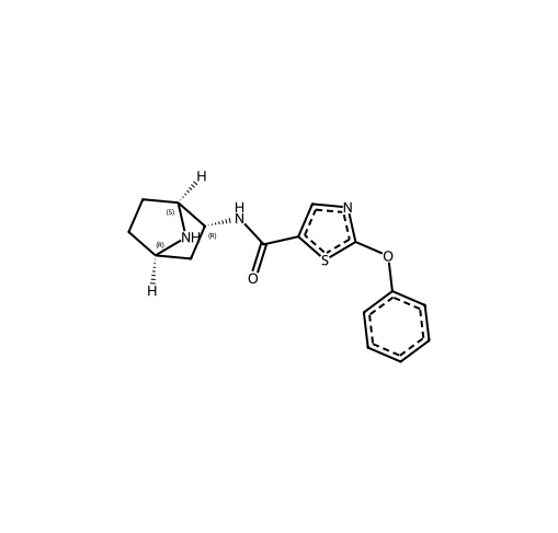 O=C(N[C@@H]1C[C@H]2CC[C@@H]1N2)c1cnc(Oc2ccccc2)s1